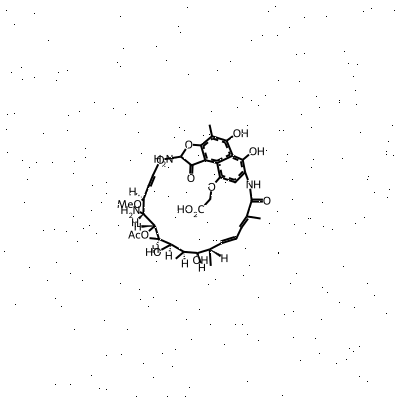 CO[C@H]1/C=C/O[C@@]2(N)Oc3c(C)c(O)c4c(O)c(cc(OCC(=O)O)c4c3C2=O)NC(=O)/C(C)=C\C=C\[C@H](C)[C@H](O)[C@@H](C)[C@@H](O)[C@@H](C)[C@H](OC(C)=O)[C@@H]1N